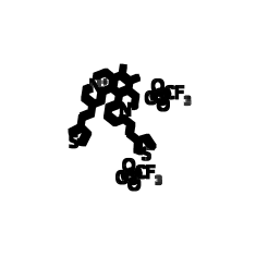 Cc1c(C)c2c(c3c1CC[n+]1ccc(/C=C/c4ccsc4)cc1-3)-c1cccc(/C=C/c3ccsc3)[n+]1CC2.O=S(=O)([O-])C(F)(F)F.O=S(=O)([O-])C(F)(F)F